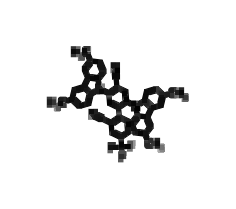 Cc1ccc2c(c1)c1cc(C)ccc1n2-c1cc(-c2ccc(C(F)(F)F)cc2C#N)c(-n2c3ccc(C)cc3c3cc(C)ccc32)cc1C#N